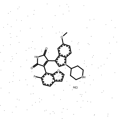 COc1ccc2c(c1)c(C1=C(c3c(F)ccc4ccoc34)C(=O)NC1=O)cn2C1CCNCC1.Cl